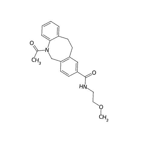 COCCNC(=O)c1ccc2c(c1)CCc1ccccc1N(C(C)=O)C2